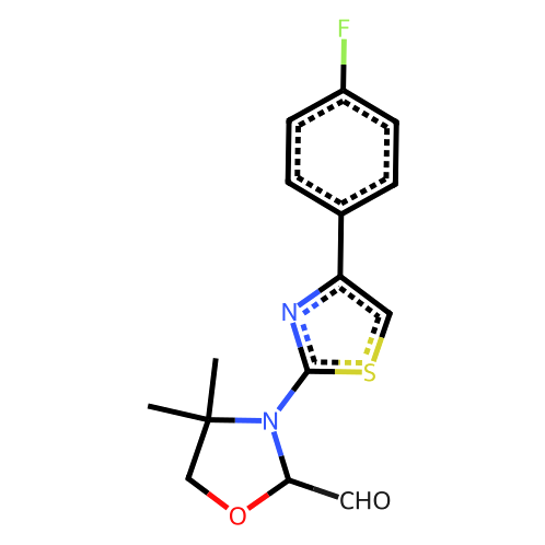 CC1(C)COC(C=O)N1c1nc(-c2ccc(F)cc2)cs1